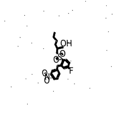 CCCCC(CO)CS(=O)(=O)c1ccc(F)cc1Cc1cccc([N+](=O)[O-])c1